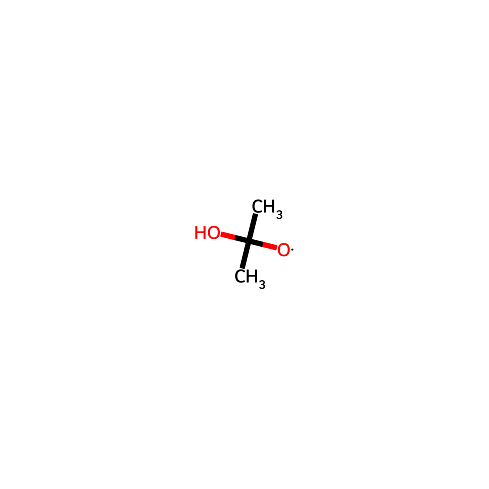 CC(C)([O])O